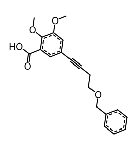 COc1cc(C#CCCOCc2ccccc2)cc(C(=O)O)c1OC